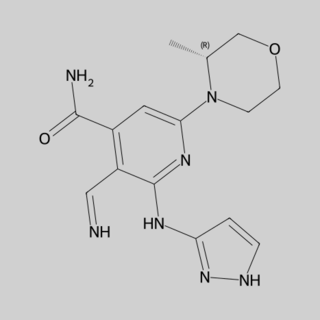 C[C@@H]1COCCN1c1cc(C(N)=O)c(C=N)c(Nc2cc[nH]n2)n1